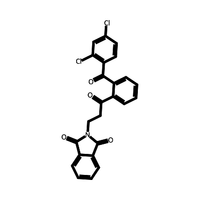 O=C(CCN1C(=O)c2ccccc2C1=O)c1ccccc1C(=O)c1ccc(Cl)cc1Cl